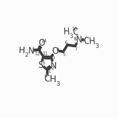 Cc1nc(OCCCN(C)C)c(C(N)=O)s1